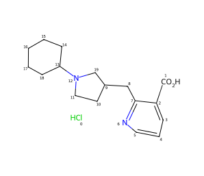 Cl.O=C(O)c1cccnc1CC1CCN(C2CCCCC2)C1